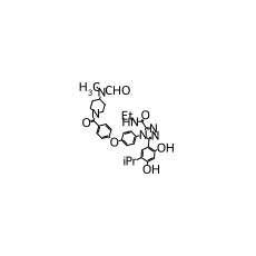 CCNC(=O)c1nnc(-c2cc(C(C)C)c(O)cc2O)n1-c1ccc(Oc2ccc(C(=O)N3CCC(N(C)C=O)CC3)cc2)cc1